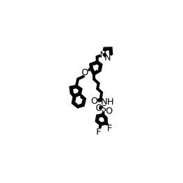 O=C(CCCCc1ccc(Cn2cccn2)cc1OCCc1ccc2ccccc2c1)NS(=O)(=O)c1ccc(F)c(F)c1